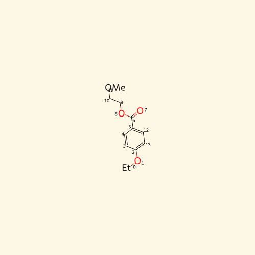 CCOc1ccc(C(=O)OCCOC)cc1